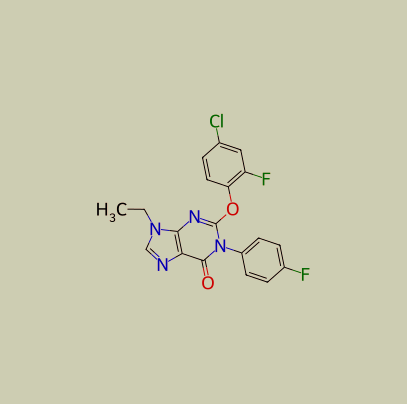 CCn1cnc2c(=O)n(-c3ccc(F)cc3)c(Oc3ccc(Cl)cc3F)nc21